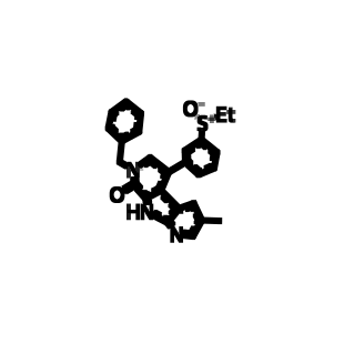 CC[S+]([O-])c1cccc(-c2cn(Cc3ccccc3)c(=O)c3[nH]c4ncc(C)cc4c23)c1